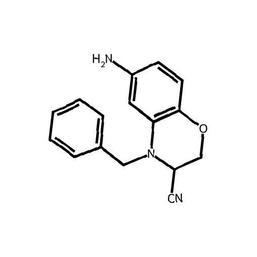 N#CC1COc2ccc(N)cc2N1Cc1ccccc1